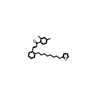 Cc1ccc(C(=O)C=Cc2ccccc2CCCCCCCCc2ccco2)c(C)c1